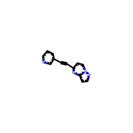 C(#Cc1ccn2nccc2n1)c1cccnc1